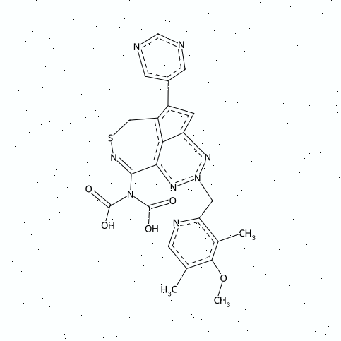 COc1c(C)cnc(Cn2nc3cc(-c4cncnc4)c4c-3c(n2)C(N(C(=O)O)C(=O)O)=NSC4)c1C